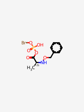 C[C@H](NOCc1ccccc1)C(=O)OP(=O)(O)OBr